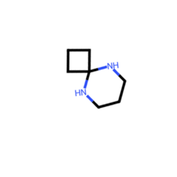 C1CNC2(CCC2)NC1